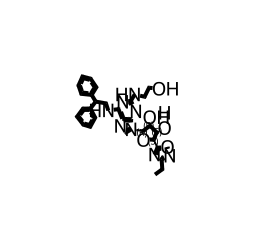 CCc1noc([C@H]2O[C@@H](n3cnc4c(NCC(c5ccccc5)c5ccccc5)nc(NCCO)nc43)[C@H](O)[C@@H]2O)n1